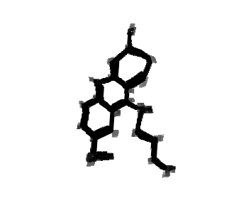 COc1ccc2nc3cc(Cl)ccc3c(NCCCC(C)C)c2c1